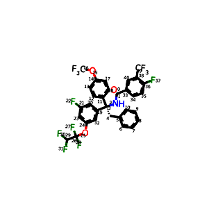 O=C(N[C@](Cc1ccccc1)(c1ccc(OC(F)(F)F)cc1)c1cc(F)cc(OC(F)(F)C(F)F)c1)c1ccc(F)c(C(F)(F)F)c1